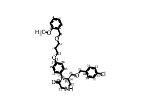 COc1ccccc1COCCCOc1ccc(N2C(=O)CNC[C@@H]2COCc2ccc(Cl)cc2)cc1